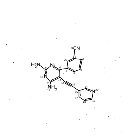 N#Cc1cccc(-c2nc(N)nc(N)c2C#Cc2cccnc2)c1